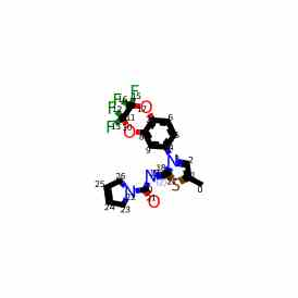 Cc1cn(-c2ccc3c(c2)OC(F)(F)C(F)(F)O3)/c(=N/C(=O)N2CC=CC2)s1